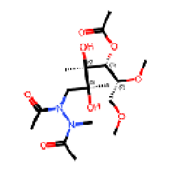 COC[C@@H](OC)[C@@H](OC(C)=O)[C@](C)(O)[C@@](C)(O)CN(C(C)=O)N(C)C(C)=O